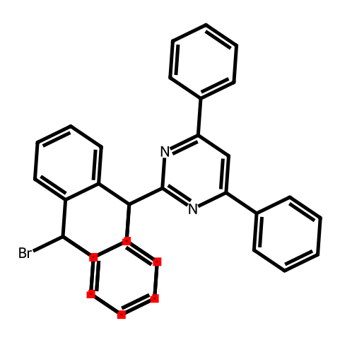 BrC12c3ccccc3C(c3nc(-c4ccccc4)cc(-c4ccccc4)n3)(c3ccccc31)c1ccccc12